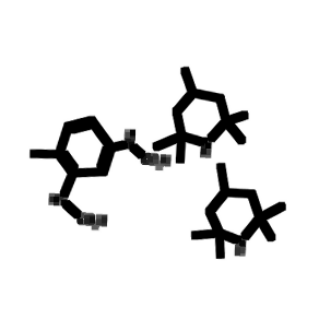 CC1CC(C)(C)NC(C)(C)C1.CC1CC(C)(C)NC(C)(C)C1.Cc1ccc(NC(=O)O)cc1NC(=O)O